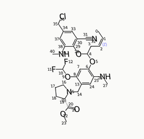 C/C=C\CC(Oc1cc(OC(F)F)c(CN2CCC[C@H]2C(=O)OC)cc1NC)Oc1c(C#N)cc(CCl)cc1NC